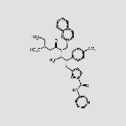 CC(C(Cc1ccc(C(=O)Nc2cccnc2)o1)c1ccc([N+](=O)[O-])cc1)N(Cc1ccc2ccccc2c1)C(=O)CC(CC(=O)O)C(=O)O